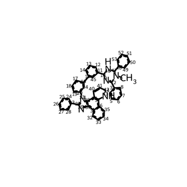 CN1C(c2ccccc2)=NC(c2cccc(-c3cccc(-n4c(-c5ccccc5)nc5c6ccccc6c6c(c54)C=CCN6)c3)c2)NC1c1ccccc1